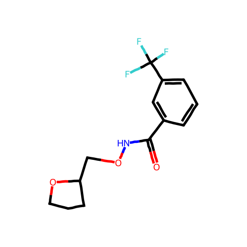 O=C(NOCC1CCCO1)c1cccc(C(F)(F)F)c1